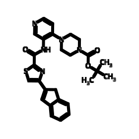 CC(C)(C)OC(=O)N1CCN(c2ccncc2NC(=O)c2nc(C3=Cc4ccccc4C3)cs2)CC1